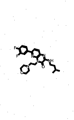 CC(C)CCNc1nc2ccc(-c3ccc(F)c(F)c3)nc2n(CCN2CCOCC2)c1=O